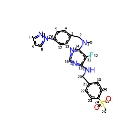 CN(Cc1ccc(-n2cccn2)cc1)c1ncnc(NCc2ccc(S(C)(=O)=O)cc2)c1F